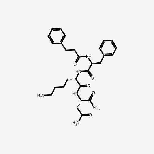 NCCCC[C@H](NC(=O)[C@H](Cc1ccccc1)NC(=O)CCc1ccccc1)C(=O)N[C@@H](CC(N)=O)C(N)=O